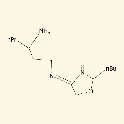 CCCCC1N/C(=N\CCC(N)CCC)CO1